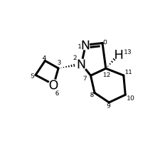 C1=NN([C@H]2CCO2)C2CCCC[C@H]12